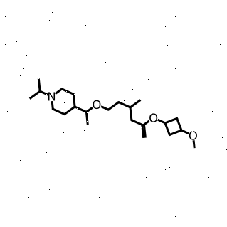 C=C(CC(C)CCOC(C)C1CCN(C(C)C)CC1)OC1CC(OC)C1